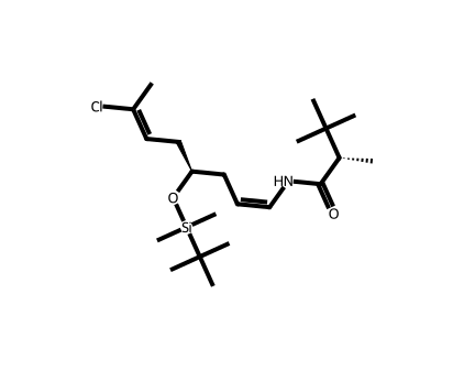 C/C(Cl)=C\C[C@@H](C/C=C\NC(=O)[C@@H](C)C(C)(C)C)O[Si](C)(C)C(C)(C)C